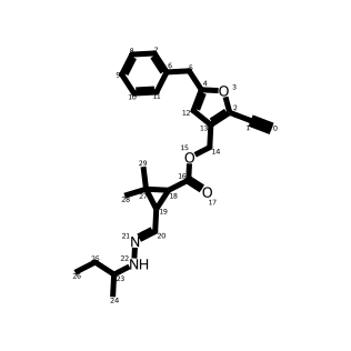 C#Cc1oc(Cc2ccccc2)cc1COC(=O)C1C(C=NNC(C)CC)C1(C)C